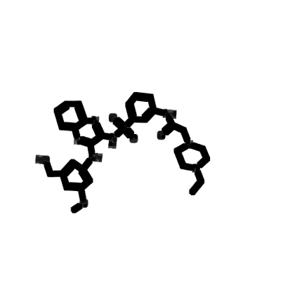 CCN1CCN(CC(=O)Nc2cccc(S(=O)(=O)Nc3nc4ccccc4nc3Nc3cc(CO)cc(OC)c3)c2)CC1